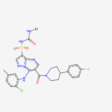 CCNC(=O)NS(=O)(=O)c1cnn2c(Nc3cc(C)ccc3Cl)c(C(=O)N3CCC(c4ccc(F)cc4)CC3)cnc12